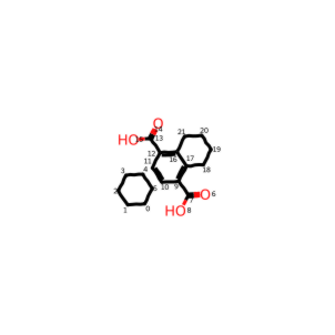 C1CCCCC1.O=C(O)c1ccc(C(=O)O)c2c1CCCC2